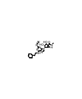 CNC(=O)C12CC1[C@@H](n1cnc3c(NCCc4ccccc4)nc(N=[N+]=[N-])nc31)[C@H](O)[C@@H]2O